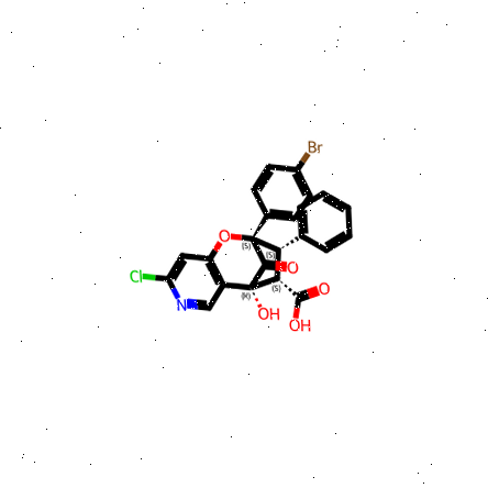 O=C(O)[C@H]1[C@@H](c2ccccc2)[C@@]2(c3ccc(Br)cc3)Oc3cc(Cl)ncc3[C@@]1(O)C2=O